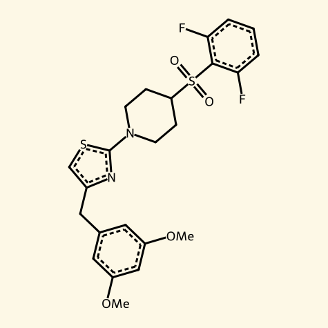 COc1cc(Cc2csc(N3CCC(S(=O)(=O)c4c(F)cccc4F)CC3)n2)cc(OC)c1